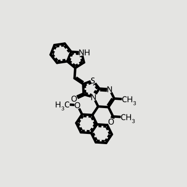 COc1ccc2ccccc2c1C1C(C(C)=O)=C(C)N=c2s/c(=C\c3c[nH]c4ccccc34)c(=O)n21